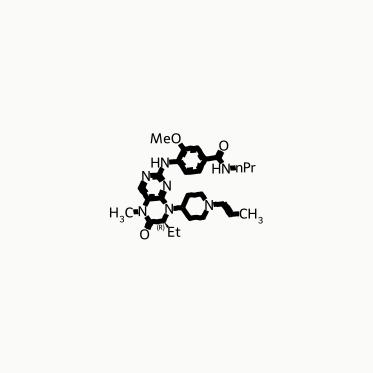 CC=CN1CCC(N2c3nc(Nc4ccc(C(=O)NCCC)cc4OC)ncc3N(C)C(=O)[C@H]2CC)CC1